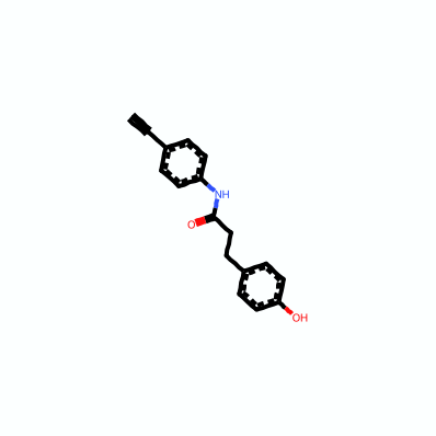 C#Cc1ccc(NC(=O)CCc2ccc(O)cc2)cc1